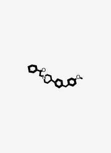 COc1ccc(Cc2ccc(C3CCN(CC(=O)c4ccccc4)CC3)cc2)cc1